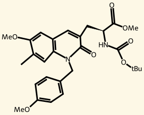 COC(=O)[C@H](Cc1cc2cc(OC)c(C)cc2n(Cc2ccc(OC)cc2)c1=O)NC(=O)OC(C)(C)C